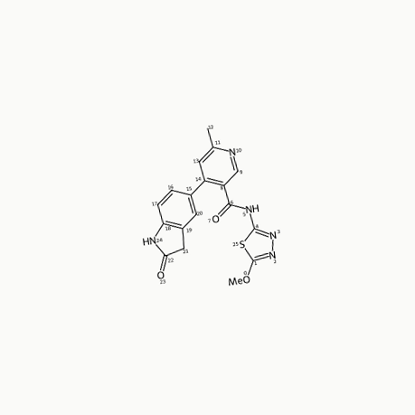 COc1nnc(NC(=O)c2cnc(C)cc2-c2ccc3c(c2)CC(=O)N3)s1